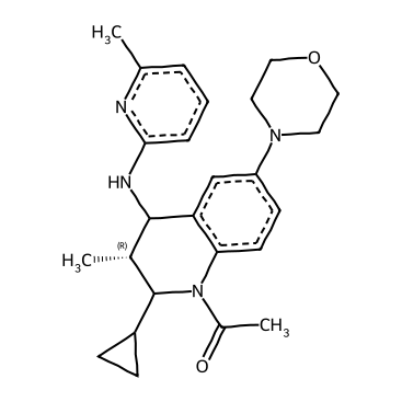 CC(=O)N1c2ccc(N3CCOCC3)cc2C(Nc2cccc(C)n2)[C@@H](C)C1C1CC1